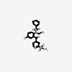 CC(C)CN(c1ccc(Cl)cc1C(=O)c1ccnc(S(C)(=O)=O)c1)S(=O)(=O)c1ccccc1